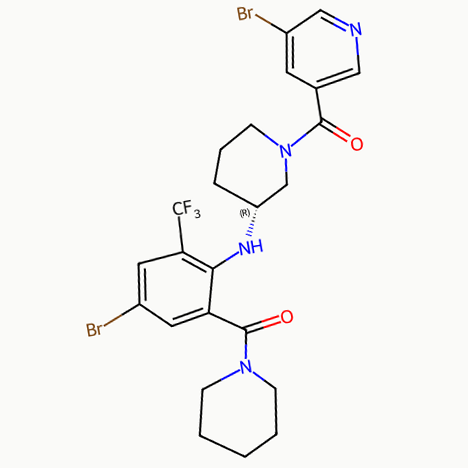 O=C(c1cncc(Br)c1)N1CCC[C@@H](Nc2c(C(=O)N3CCCCC3)cc(Br)cc2C(F)(F)F)C1